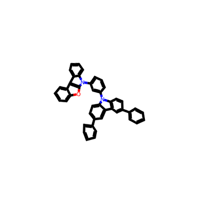 c1ccc(-c2ccc3c(c2)c2cc(-c4ccccc4)ccc2n3-c2cccc(-n3c4ccccc4c4c5ccccc5oc43)c2)cc1